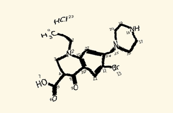 CCN1CC(C(=O)O)C(=O)c2cc(Br)c(N3CCNCC3)cc21.Cl